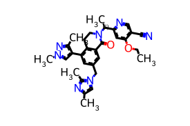 CCOc1cc([C@H](C)N2CCc3c(cc(Cn4cc(C)nc4C)cc3-c3cn(C)nc3C)C2=O)ncc1C#N